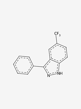 FC(F)(F)c1ccc2[nH]nc(-c3ccccc3)c2c1